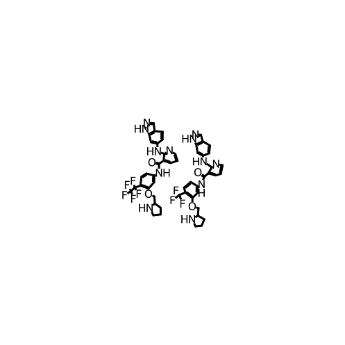 O=C(Nc1ccc(C(F)(F)C(F)(F)F)c(OCC2CCCN2)c1)c1cccnc1Nc1ccc2cn[nH]c2c1.O=C(Nc1ccc(C(F)(F)F)c(OCC2CCCN2)c1)c1cccnc1Nc1ccc2cn[nH]c2c1